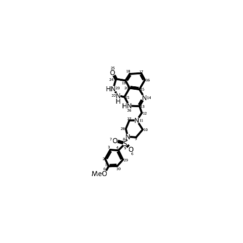 COc1ccc(S(=O)(=O)N2CCN(CC3=Nc4cccc5c4C(NNC5=O)N3)CC2)cc1